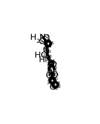 NS(=O)(=O)c1cccc(OCC(O)CN[C@H]2COC3(CCN(S(=O)(=O)c4ccc5c(c4)CCCO5)CC3)C2)c1